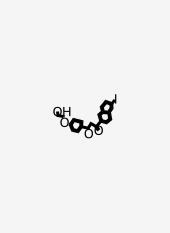 O=C(CC(=O)c1ccc2cc(I)ccc2c1)c1ccc(OCCO)cc1